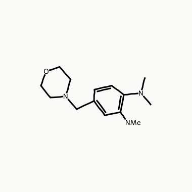 CNc1cc(CN2CCOCC2)ccc1N(C)C